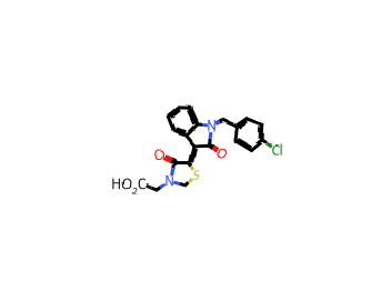 O=C(O)CN1CS/C(=C2\C(=O)N(Cc3ccc(Cl)cc3)c3ccccc32)C1=O